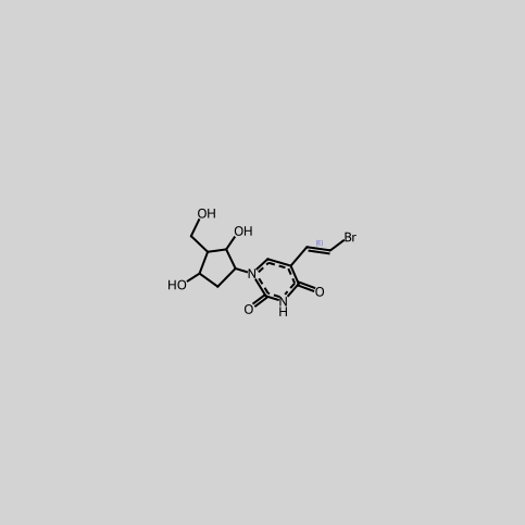 O=c1[nH]c(=O)n(C2CC(O)C(CO)C2O)cc1/C=C/Br